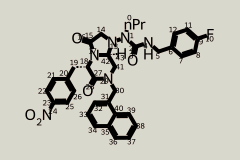 CCCN(C(=O)NCc1ccc(F)cc1)N1CC(=O)N2[C@@H](Cc3ccc([N+](=O)[O-])cc3)C(=O)N(Cc3cccc4ccccc34)C[C@@H]21